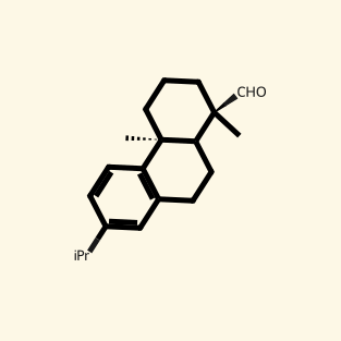 CC(C)c1ccc2c(c1)CCC1[C@](C)(C=O)CCC[C@]21C